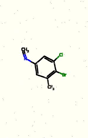 C=Nc1cc(Cl)c(Br)c(C(F)(F)F)c1